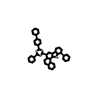 c1ccc(-c2ccc(-c3nc(-c4ccccc4)nc(-c4cc5c6cccc(-c7ccccc7)c6[se]c5c5c4ccc4ccccc45)n3)cc2)cc1